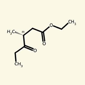 CCOC(=O)C[C@@H](C)C(=O)CC